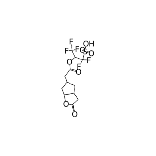 O=C1CC2CC(CC(=O)OC(C(F)(F)F)C(F)(F)S(=O)(=O)O)CC2O1